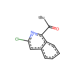 CC(C)(C)C(=O)c1nc(Cl)cc2ccccc12